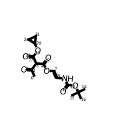 CC(=O)C(C(=O)OC=CNC(=O)OC(C)(C)C)C(=O)OC1CC1